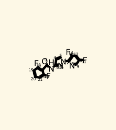 O=C(Nc1ccn(-c2ncc(F)cc2F)n1)c1c(F)cccc1F